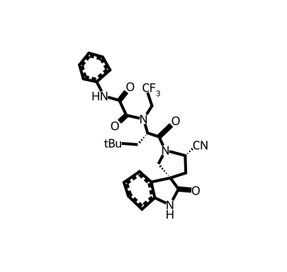 CC(C)(C)C[C@@H](C(=O)N1C[C@]2(C[C@H]1C#N)C(=O)Nc1ccccc12)N(CC(F)(F)F)C(=O)C(=O)Nc1ccccc1